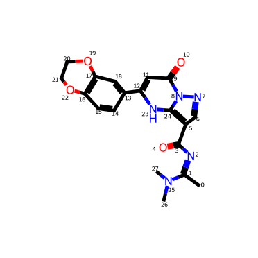 C/C(=N/C(=O)c1cnn2c(=O)cc(-c3ccc4c(c3)OCCO4)[nH]c12)N(C)C